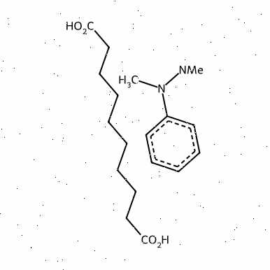 CNN(C)c1ccccc1.O=C(O)CCCCCCCCC(=O)O